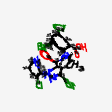 CCN(C(=O)c1cc(Br)nn1-c1ncccc1Cl)c1c(Br)cc(Cl)cc1C(=O)O